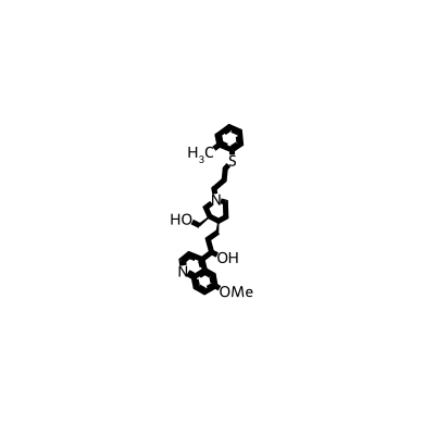 COc1ccc2nccc(C(O)CC[C@@H]3CCN(CCCSc4ccccc4C)C[C@@H]3CO)c2c1